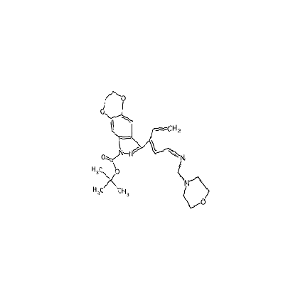 C=C/C(=C\C=N/CN1CCOCC1)c1nn(C(=O)OC(C)(C)C)c2cc3c(cc12)OCCO3